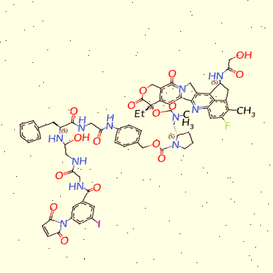 CC[C@@]1(OC(=O)N(C)C[C@@H]2CCCN2C(=O)OCc2ccc(NC(=O)CNC(=O)[C@H](Cc3ccccc3)NC(O)CNC(=O)CNC(=O)c3cc(I)cc(N4C(=O)C=CC4=O)c3)cc2)C(=O)OCc2c1cc1n(c2=O)Cc2c-1nc1cc(F)c(C)c3c1c2[C@@H](NC(=O)CO)C3